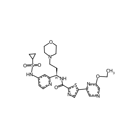 CCOc1cncc(-c2cnc(C(=O)N[C@H](CCN3CCOCC3)c3cc(NS(=O)(=O)C4CC4)ccn3)s2)n1